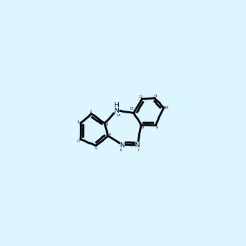 c1ccc2c(c1)N=Nc1ccccc1N2